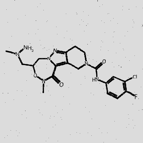 CN(N)CC1Cn2nc3c(c2C(=O)N(C)O1)CN(C(=O)Nc1ccc(F)c(Cl)c1)CC3